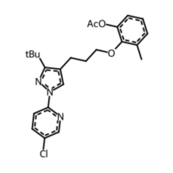 CC(=O)Oc1cccc(C)c1OCCCc1cn(-c2ccc(Cl)cn2)nc1C(C)(C)C